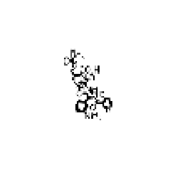 NC(=O)OCC1=C(C(=O)O)N2C(=O)C(NC(=O)C(NC(=O)c3cnccc3O)c3cccc(N)c3)[C@H]2SC1